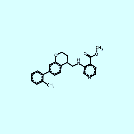 COC(=O)c1ccncc1NCC1CCOc2cc(-c3ccccc3C)ccc21